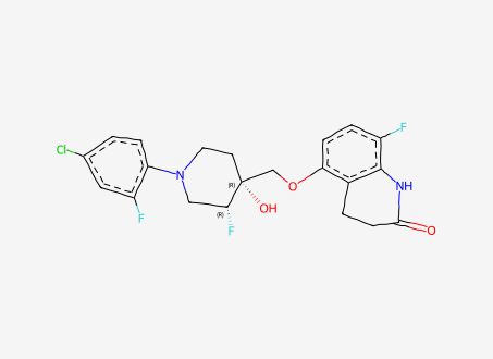 O=C1CCc2c(OC[C@]3(O)CCN(c4ccc(Cl)cc4F)C[C@H]3F)ccc(F)c2N1